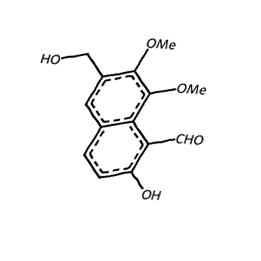 COc1c(CO)cc2ccc(O)c(C=O)c2c1OC